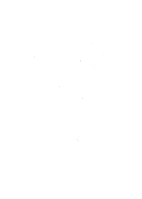 O=C(OC1C(Oc2ccc(F)cc2Cl)CC12CCNCC2)C(F)(F)F